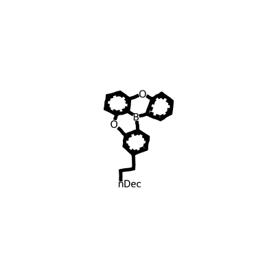 CCCCCCCCCCCCc1ccc2c(c1)Oc1cccc3c1B2c1ccccc1O3